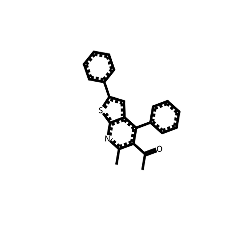 CC(=O)c1c(C)nc2sc(-c3ccccc3)cc2c1-c1ccccc1